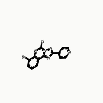 Clc1nc2c(Br)cccc2c2nc(-c3ccncc3)nn12